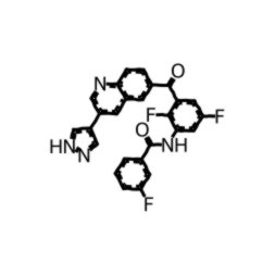 O=C(Nc1cc(F)cc(C(=O)c2ccc3ncc(-c4cn[nH]c4)cc3c2)c1F)c1cccc(F)c1